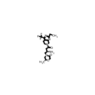 CCc1nc2c(c(C(F)(F)F)n1)CCN(C(=O)C[C@@H](N)CN1C[C@H](C)OCC1=O)C2